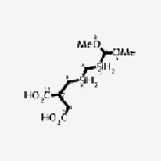 COC(OC)[SiH2]C[SiH2]CC(CC(=O)O)C(=O)O